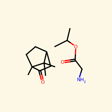 CC(C)OC(=O)CN.CC12CCC(CC1=O)C2(C)C